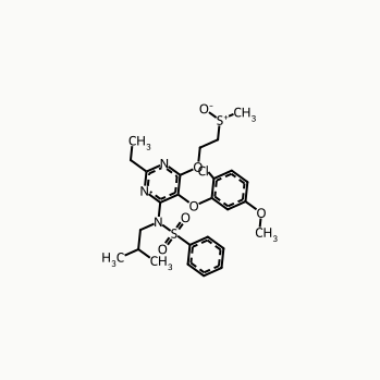 CCc1nc(OCC[S+](C)[O-])c(Oc2cc(OC)ccc2Cl)c(N(CC(C)C)S(=O)(=O)c2ccccc2)n1